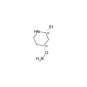 CC[C@@H]1C[C@H](ON)CCN1